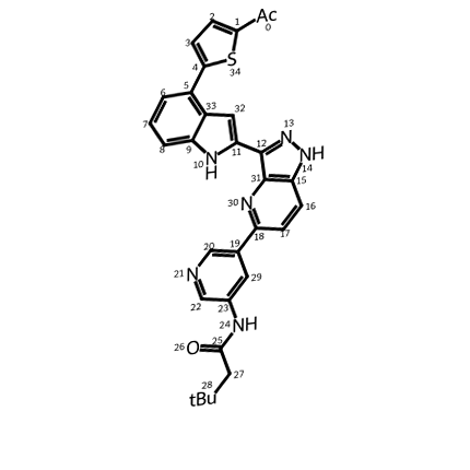 CC(=O)c1ccc(-c2cccc3[nH]c(-c4n[nH]c5ccc(-c6cncc(NC(=O)CC(C)(C)C)c6)nc45)cc23)s1